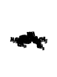 CC1CC(C)CN(S(=O)(=O)c2ccc3c(c2)C(=NO)c2cc(S(=O)(=O)N4CC(C)CC(C)C4)ccc2C3=NO)C1